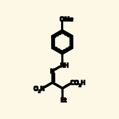 CCC(C(=O)O)C(=NNc1ccc(OC)cc1)[N+](=O)[O-]